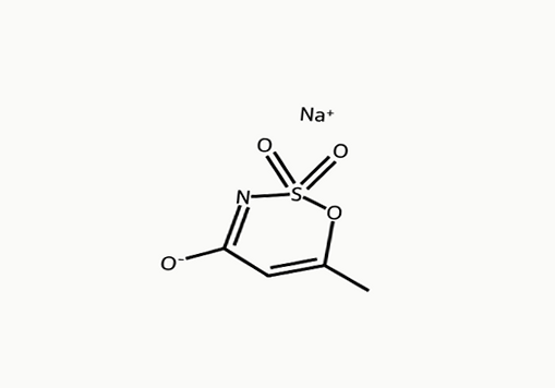 CC1=CC([O-])=NS(=O)(=O)O1.[Na+]